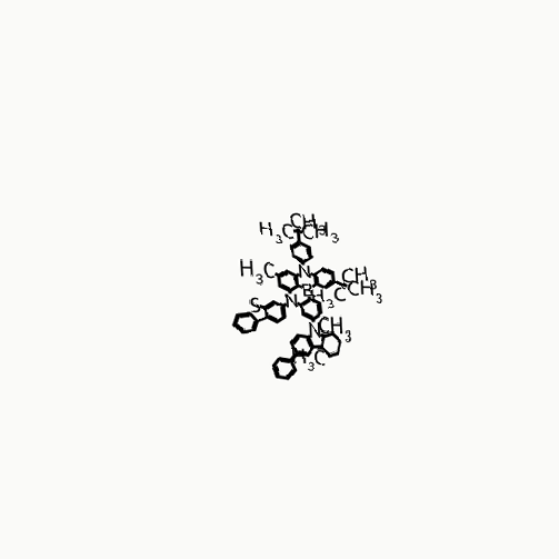 Cc1cc2c3c(c1)N(c1ccc4c(c1)sc1ccccc14)c1cc(N4c5ccc(-c6ccccc6)cc5C5(C)CCCCC45C)ccc1B3c1cc(C(C)(C)C)ccc1N2c1ccc(C(C)(C)C)cc1